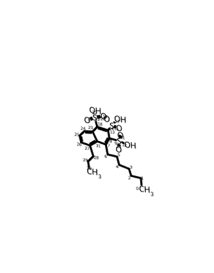 CCCCCCCc1c(S(=O)(=O)O)c(S(=O)(=O)O)c(S(=O)(=O)O)c2cccc(CCC)c12